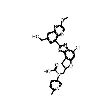 COc1cnc2c(-c3nc4c(Cl)cc5c(c4s3)CC(CN(C(=O)O)c3ccc(C)nc3)O5)cc(CO)cc2n1